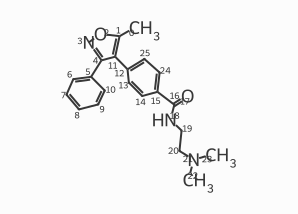 Cc1onc(-c2ccccc2)c1-c1ccc(C(=O)NCCN(C)C)cc1